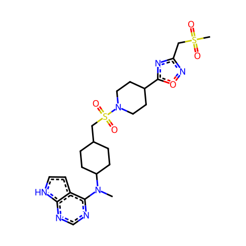 CN(c1ncnc2[nH]ccc12)C1CCC(CS(=O)(=O)N2CCC(c3nc(CS(C)(=O)=O)no3)CC2)CC1